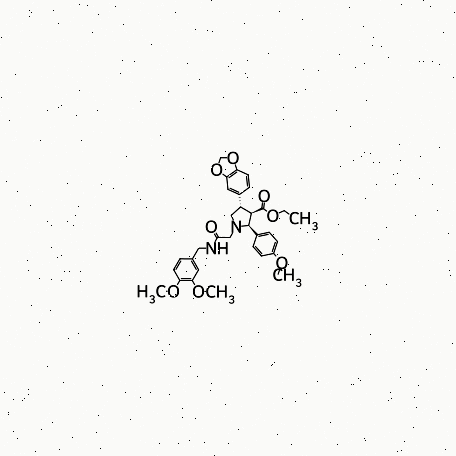 CCOC(=O)[C@@H]1[C@@H](c2ccc3c(c2)OCO3)CN(CC(=O)NCc2ccc(OC)c(OC)c2)[C@@H]1c1ccc(OC)cc1